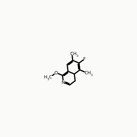 COC1=C2C=C(C)C(F)=C(C)C2CC=N1